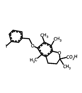 Cc1c(C)c2c(c(C)c1OCc1cccc(I)c1)CCC(C)(C(=O)O)O2